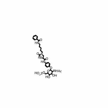 CCCCC(=O)N(CCCCCNC(=O)c1ccccc1)CCC(=O)Nc1ccc(OC2OC(COS(=O)(=O)O)C(O)C(O)C2NC(C)=O)cc1